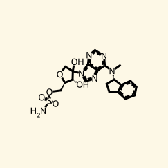 CN(c1ncnc2c1ncn2C1(O)CO[C@H](COS(N)(=O)=O)[C@H]1O)[C@H]1CCc2ccccc21